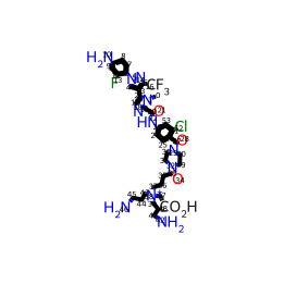 Cn1c(-c2cn(-c3ccc(N)cc3F)nc2C(F)(F)F)cnc1C(=O)Nc1ccc(C(=O)N2CCN(C(=O)CCC[N+](CCCN)(CCCN)CC(=O)O)CC2)c(Cl)c1